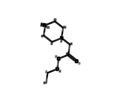 CCOOC(=O)CN1CCNCC1